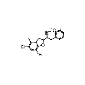 Cc1c(Cl)cc(C(C)C)c2c1CC(C(Cc1ccccc1)NC(=O)O)O2